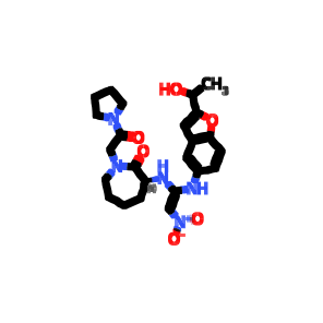 CC(O)c1cc2cc(NC(=C[N+](=O)[O-])N[C@H]3CCCCN(CC(=O)N4CCCC4)C3=O)ccc2o1